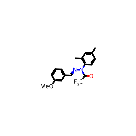 COc1cccc(/C=N/N(C(=O)C(F)(F)F)c2ccc(C)cc2C)c1